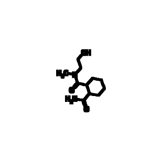 CN(CCO)C(=O)C1CCCCC1C(N)=O